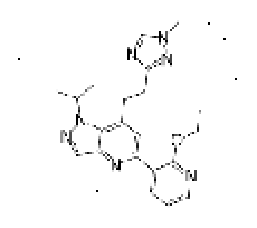 CCOc1ncccc1-c1cc(CCc2ncn(C)n2)c2c(cnn2C(C)C)n1